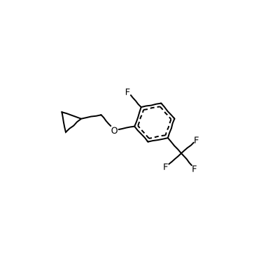 Fc1ccc(C(F)(F)F)cc1OCC1CC1